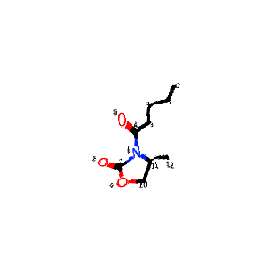 CCCCC(=O)N1C(=O)OC[C@@H]1C